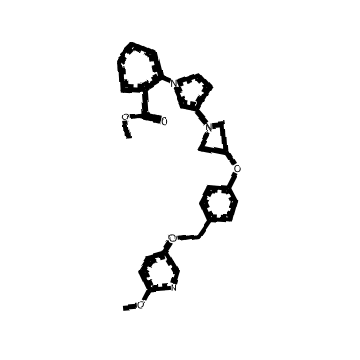 COC(=O)c1ccccc1-n1ccc(N2CC(Oc3ccc(COc4ccc(OC)nc4)cc3)C2)c1